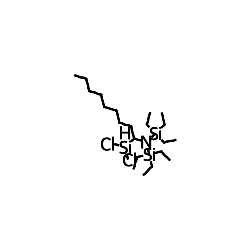 CCCCCCCCC(N([Si](CC)(CC)CC)[Si](CC)(CC)CC)[SiH](Cl)Cl